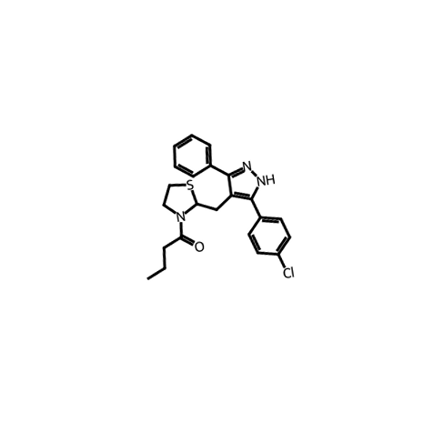 CCCC(=O)N1CCSC1Cc1c(-c2ccccc2)n[nH]c1-c1ccc(Cl)cc1